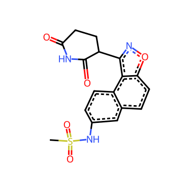 CS(=O)(=O)Nc1ccc2c(ccc3onc(C4CCC(=O)NC4=O)c32)c1